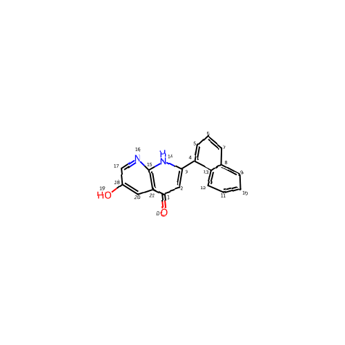 O=c1cc(-c2cccc3ccccc23)[nH]c2ncc(O)cc12